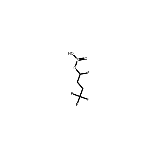 O=S(O)OC(F)CCC(F)(F)F